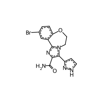 NC(=O)c1nc2n(c1-c1cc[nH]n1)CCOc1ccc(Br)cc1-2